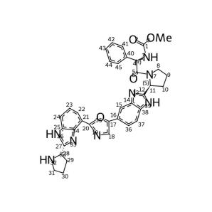 COC(=O)N[C@@H](C(=O)N1CCC[C@H]1c1nc2cc(-c3cnc(-c4cccc5[nH]c([C@@H]6CCCN6)nc45)o3)ccc2[nH]1)c1ccccc1